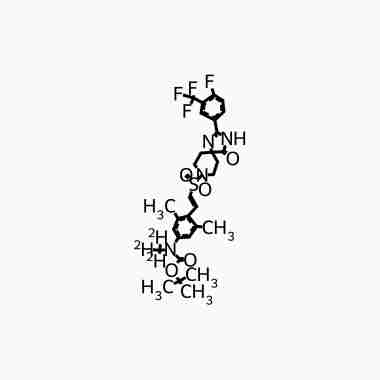 [2H]C([2H])([2H])N(C(=O)OC(C)(C)C)c1cc(C)c(/C=C/S(=O)(=O)N2CCC3(CC2)N=C(c2ccc(F)c(C(F)(F)F)c2)NC3=O)c(C)c1